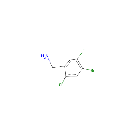 NCc1cc(F)c(Br)cc1Cl